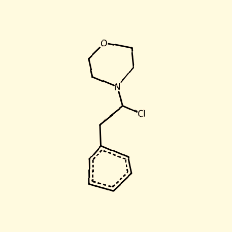 ClC(Cc1ccccc1)N1CCOCC1